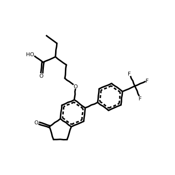 CCC(CCOc1cc2c(cc1-c1ccc(C(F)(F)F)cc1)CCC2=O)C(=O)O